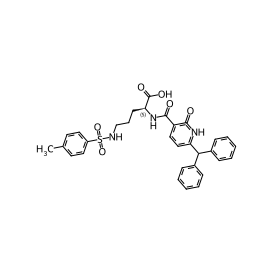 Cc1ccc(S(=O)(=O)NCCC[C@H](NC(=O)c2ccc(C(c3ccccc3)c3ccccc3)[nH]c2=O)C(=O)O)cc1